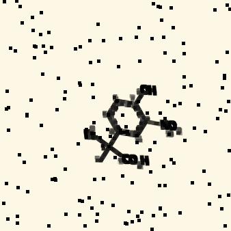 CCC(C)(C(=O)O)c1ccc(O)c([N+](=O)[O-])c1